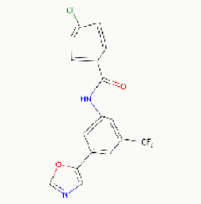 O=C(Nc1cc(-c2cnco2)cc(C(F)(F)F)c1)c1ccc(Cl)cc1